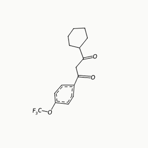 O=C(CC(=O)C1CCCCC1)c1ccc(OC(F)(F)F)cc1